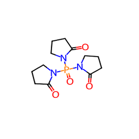 O=C1CCCN1P(=O)(N1CCCC1=O)N1CCCC1=O